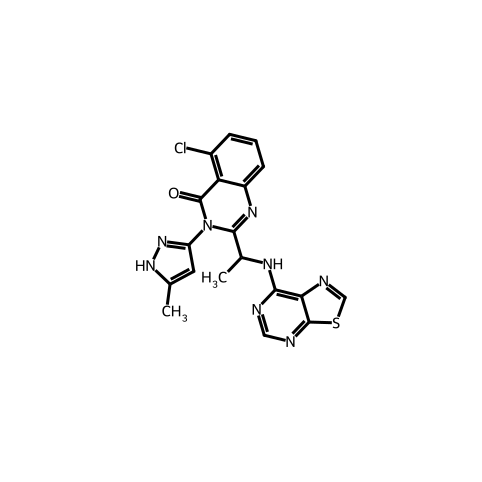 Cc1cc(-n2c(C(C)Nc3ncnc4scnc34)nc3cccc(Cl)c3c2=O)n[nH]1